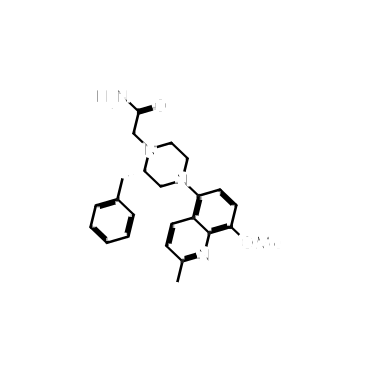 COc1ccc(N2CCN(CC(N)=O)[C@@H](Cc3ccccc3)C2)c2ccc(C)nc12